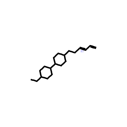 C=C/C=C/CCC1CCC(C2CCC(CC)CC2)CC1